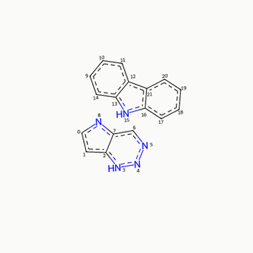 c1cc2[nH]nncc-2n1.c1ccc2c(c1)[nH]c1ccccc12